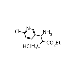 CCOC(=O)C(C)C(N)c1ccc(Cl)nc1.Cl